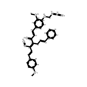 COc1ccc(/C=C/C(N=O)=C(\C/C=C/c2ccccc2)C(=O)/C=C/c2ccc(OCN=[N+]=[N-])c(OC)c2)cc1